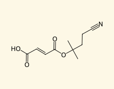 CC(C)(CCC#N)OC(=O)C=CC(=O)O